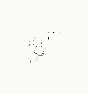 CC(=O)O[C@H](C)COc1ncc(C(F)(F)F)cc1S(=O)(=O)Cl